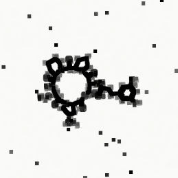 C[C@@H]1CC2C(=O)O[C@@H](C)[C@H](NC(=O)CCc3cc(F)cc(F)c3)C(=O)N3CCCC3C(=O)N3CCCCC3C(=O)N[C@@H](C)C(=O)N2C1